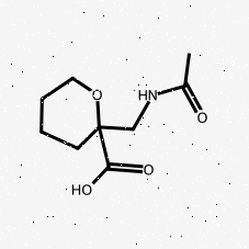 CC(=O)NCC1(C(=O)O)CCCCO1